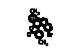 Cc1ccc(-c2oc(=O)c3cc(C)ccc3c2-c2c(O)ccc3ccc(Br)cc23)nc1